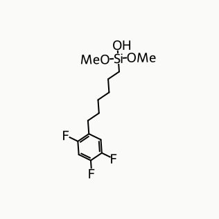 CO[Si](O)(CCCCCCc1cc(F)c(F)cc1F)OC